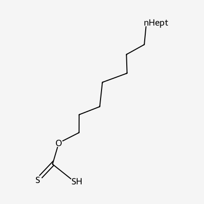 CCCCCCCCCCCCCCOC(=S)S